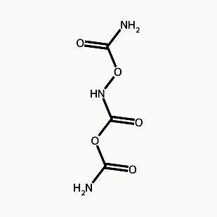 NC(=O)ONC(=O)OC(N)=O